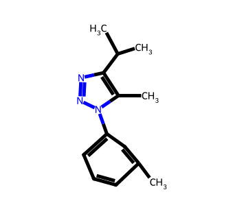 Cc1cccc(-n2nnc(C(C)C)c2C)c1